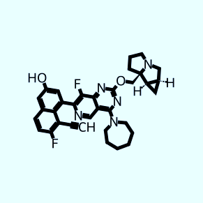 C#Cc1c(F)ccc2cc(O)cc(-c3ncc4c(N5CCCCCC5)nc(OC[C@@]56CCCN5C[C@H]5C[C@H]56)nc4c3F)c12